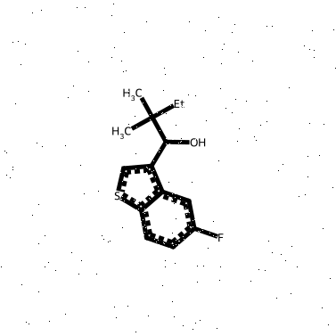 CCC(C)(C)C(O)c1csc2ccc(F)cc12